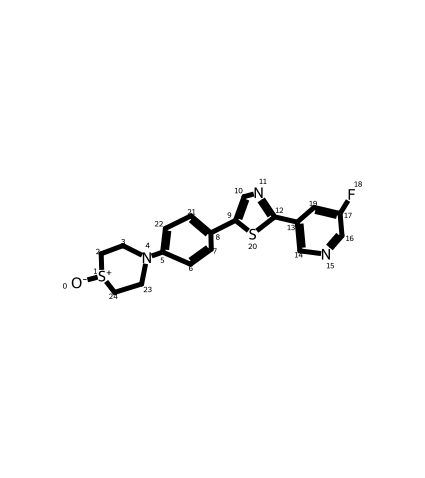 [O-][S+]1CCN(c2ccc(-c3cnc(-c4cncc(F)c4)s3)cc2)CC1